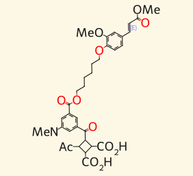 CNc1cc(C(=O)OCCCCCCOc2ccc(/C=C/C(=O)OC)cc2OC)cc(C(=O)C2C(C(C)=O)C(C(=O)O)C2C(=O)O)c1